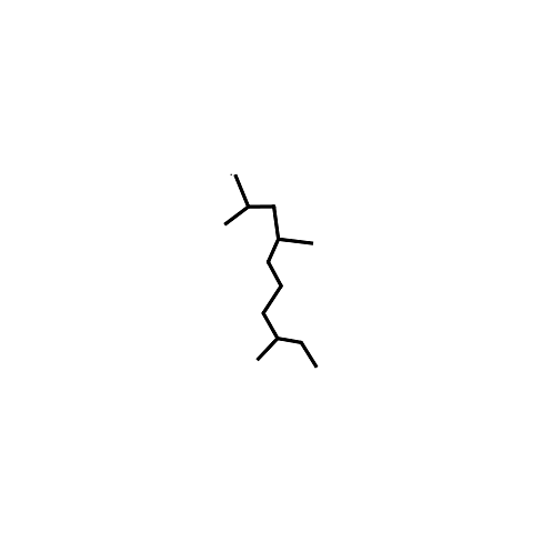 [CH2]C(C)CC(C)CCCC(C)CC